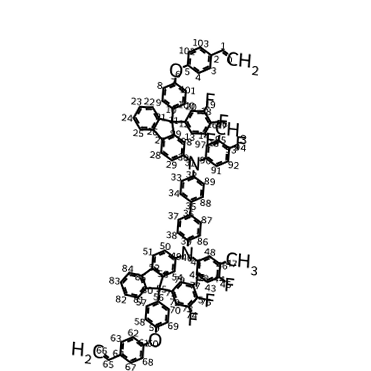 C=Cc1ccc(Oc2ccc(C3(c4cc(F)c(F)c(F)c4)c4ccccc4-c4ccc(N(c5ccc(-c6ccc(N(c7ccc(F)c(C)c7)c7ccc8c(c7)C(c7ccc(Oc9ccc(C=C)cc9)cc7)(c7cc(F)c(F)c(F)c7)c7ccccc7-8)cc6)cc5)c5ccc(F)c(C)c5)cc43)cc2)cc1